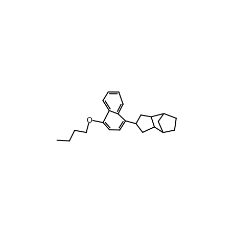 CCCCOc1ccc(C2CC3C4CCC(C4)C3C2)c2ccccc12